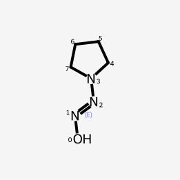 O/N=N/N1CCCC1